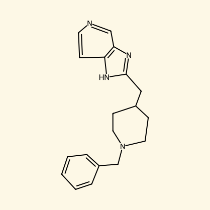 c1ccc(CN2CCC(Cc3nc4cnccc4[nH]3)CC2)cc1